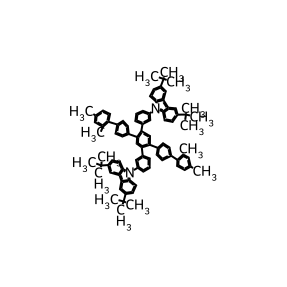 Cc1ccc(-c2ccc(-c3cc(-c4cccc(-n5c6ccc(C(C)(C)C)cc6c6cc(C(C)(C)C)ccc65)c4)c(-c4ccc(-c5ccc(C)cc5C)cc4)cc3-c3cccc(-n4c5ccc(C(C)(C)C)cc5c5cc(C(C)(C)C)ccc54)c3)cc2)c(C)c1